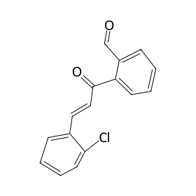 O=Cc1ccccc1C(=O)/C=C/c1ccccc1Cl